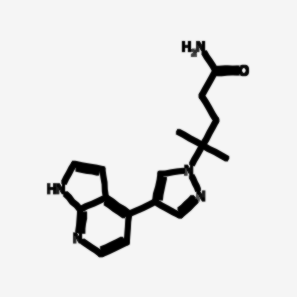 CC(C)(CCC(N)=O)n1cc(-c2ccnc3[nH]ccc23)cn1